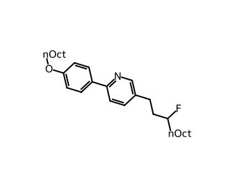 CCCCCCCCOc1ccc(-c2ccc(CCC(F)CCCCCCCC)cn2)cc1